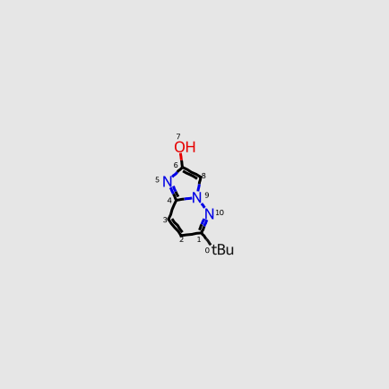 CC(C)(C)c1ccc2nc(O)cn2n1